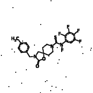 Cc1ccc(CN2CC3(CCN(C(=S)N(F)c4cc(F)c(F)c(F)c4F)CC3)OC2=O)cc1